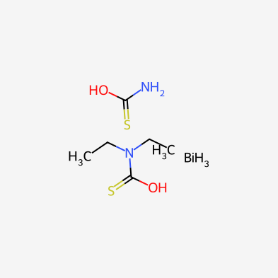 CCN(CC)C(O)=S.NC(O)=S.[BiH3]